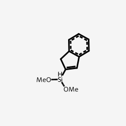 CO[SiH](OC)C1=Cc2ccccc2C1